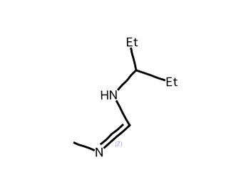 CCC(CC)N/C=N\C